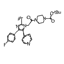 CC(C)c1nc(-c2ccc(F)cc2)c(-c2ccncc2)n1CC(=O)N1CCN(C(=O)OC(C)(C)C)CC1